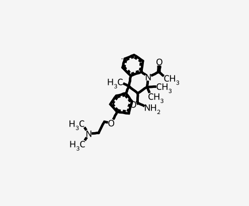 CC(=O)N1c2cc[c]cc2C(C)(c2ccc(OCCN(C)C)cc2)C(C(N)=O)C1(C)C